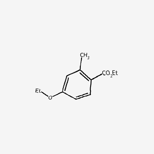 CCOC(=O)c1ccc(OCC)cc1C